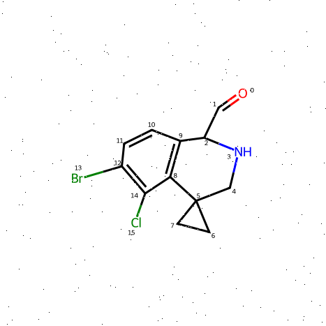 O=CC1NCC2(CC2)c2c1ccc(Br)c2Cl